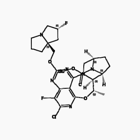 C[C@@H]1Oc2nc(Cl)c(F)c3nc(OC[C@@]45CCCN4C[C@H](F)C5)nc(c23)N2C[C@H]3CC[C@@H]([C@@H]12)N3C(=O)OC(C)(C)C